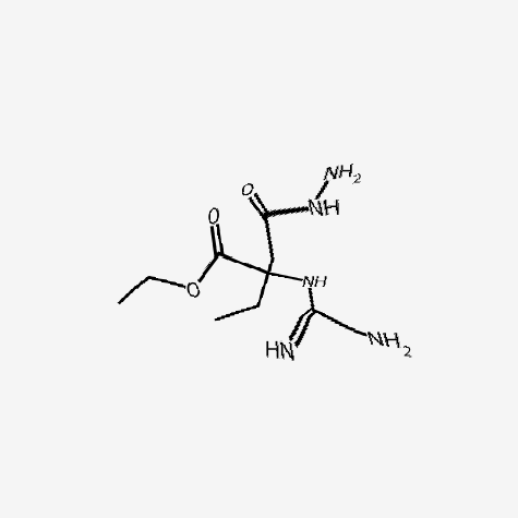 CCOC(=O)C(CC)(NC(=N)N)C(=O)NN